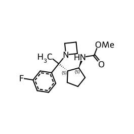 COC(=O)N[C@H]1CCC[C@@H]1C(C)(c1cccc(F)c1)N1CCC1